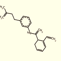 C=CC1=CC=CCC1C(=C)Nc1cccc(CCC(=C)C)c1